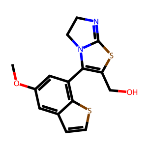 COc1cc(C2=C(CO)SC3=NCCN32)c2sccc2c1